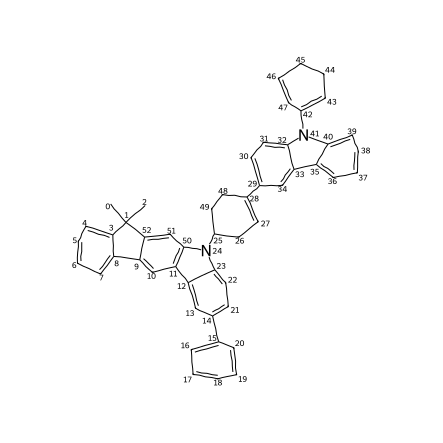 CC1(C)c2ccccc2-c2cc3c4cc(-c5ccccc5)ccc4n(C4CC=C(c5ccc6c(c5)c5ccccc5n6C5=CCCC=C5)CC4)c3cc21